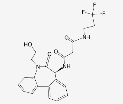 O=C(CC(=O)N[C@@H]1C(=O)N(CCO)c2ccccc2-c2ccccc21)NCCC(F)(F)F